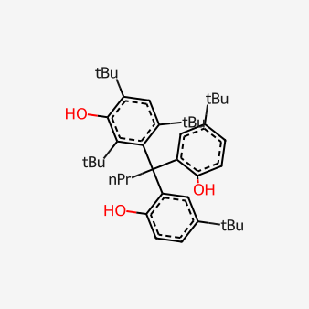 CCCC(c1cc(C(C)(C)C)ccc1O)(c1cc(C(C)(C)C)ccc1O)c1c(C(C)(C)C)cc(C(C)(C)C)c(O)c1C(C)(C)C